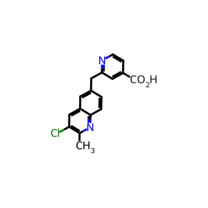 Cc1nc2ccc(Cc3cc(C(=O)O)ccn3)cc2cc1Cl